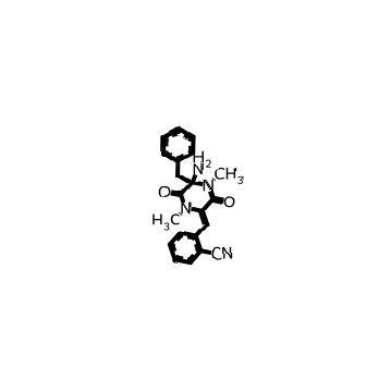 CN1C(=O)C(N)(Cc2ccccc2)N(C)C(=O)/C1=C/c1ccccc1C#N